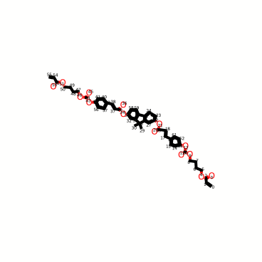 C=CC(=O)OCCCCOC(=O)Oc1ccc(C=CC(=O)Oc2ccc3c(c2)C(C)(C)c2cc(OC(=O)C=Cc4ccc(OC(=O)OCCCCOC(=O)C=C)cc4)ccc2-3)cc1